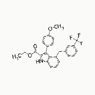 CCOC(=O)c1[nH]c2cccc(Cc3cccc(C(F)(F)F)c3)c2c1-c1ccc(OC)cc1